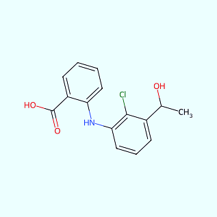 CC(O)c1cccc(Nc2ccccc2C(=O)O)c1Cl